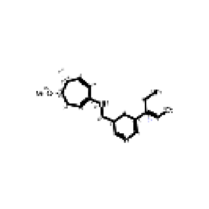 CC/C=C(\CC(C)C)C1=CN=CC(CNC2=CC[C@H](OC)[C@H](C)C=C2)C1